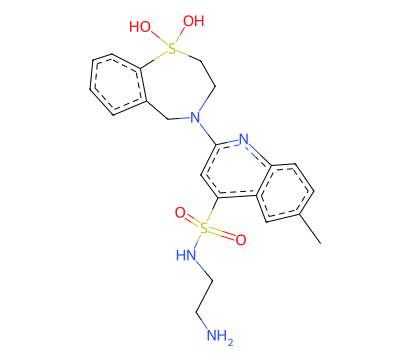 Cc1ccc2nc(N3CCS(O)(O)c4ccccc4C3)cc(S(=O)(=O)NCCN)c2c1